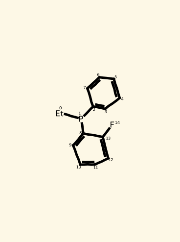 CCP(c1ccccc1)c1ccccc1F